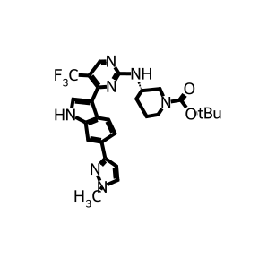 Cn1ccc(-c2ccc3c(-c4nc(N[C@H]5CCCN(C(=O)OC(C)(C)C)C5)ncc4C(F)(F)F)c[nH]c3c2)n1